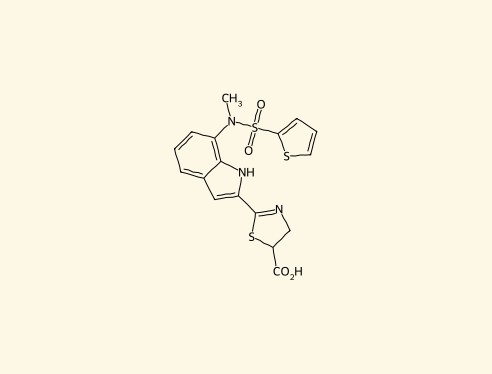 CN(c1cccc2cc(C3=NCC(C(=O)O)S3)[nH]c12)S(=O)(=O)c1cccs1